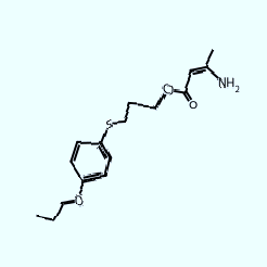 CCCOc1ccc(SCCCOC(=O)C=C(C)N)cc1